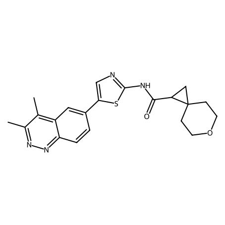 Cc1nnc2ccc(-c3cnc(NC(=O)C4CC45CCOCC5)s3)cc2c1C